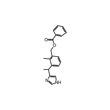 Cc1c(COC(=O)c2ccccc2)cccc1C(C)c1c[nH]cn1